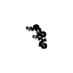 COc1cccc(Cn2nc(C)c3c(NC(=O)c4cnc5ccccn45)cccc32)n1